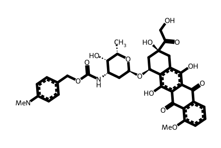 CNc1ccc(COC(=O)N[C@H]2C[C@H](O[C@H]3C[C@](O)(C(=O)CO)Cc4c(O)c5c(c(O)c43)C(=O)c3c(OC)cccc3C5=O)O[C@@H](C)[C@H]2O)cc1